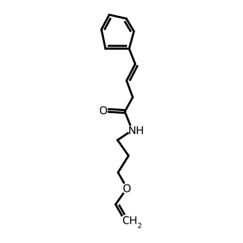 C=COCCCNC(=O)C/C=C/c1ccccc1